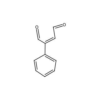 O=C/C=C(\C=O)c1ccccc1